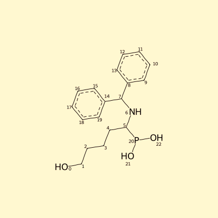 OCCCCC(NC(c1ccccc1)c1ccccc1)P(O)O